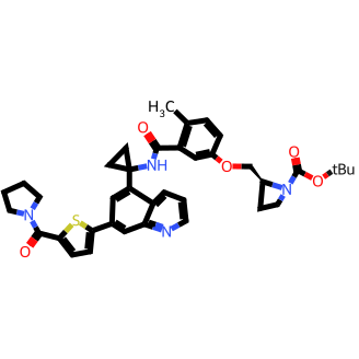 Cc1ccc(OC[C@@H]2CCN2C(=O)OC(C)(C)C)cc1C(=O)NC1(c2cc(-c3ccc(C(=O)N4CCCC4)s3)cc3ncccc23)CC1